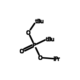 CC(C)OP(=O)(OC(C)(C)C)C(C)(C)C